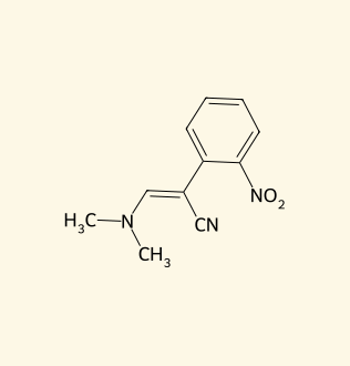 CN(C)/C=C(\C#N)c1ccccc1[N+](=O)[O-]